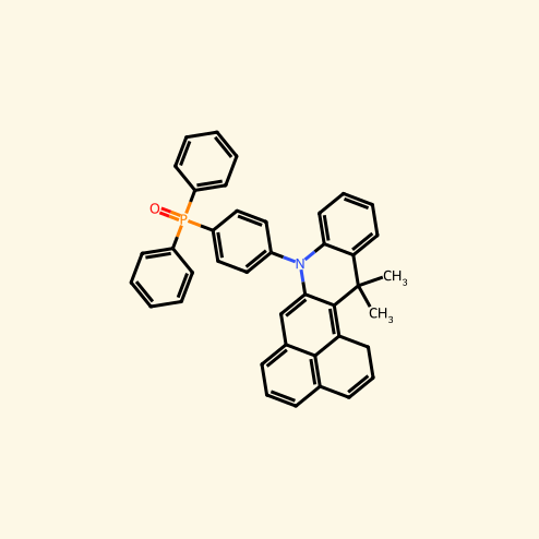 CC1(C)c2ccccc2N(c2ccc(P(=O)(c3ccccc3)c3ccccc3)cc2)c2cc3cccc4c3c(c21)CC=C4